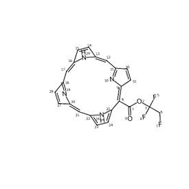 O=C(OC(F)(F)CF)c1c2nc(cc3ccc(cc4nc(cc5ccc1[nH]5)C=C4)[nH]3)C=C2